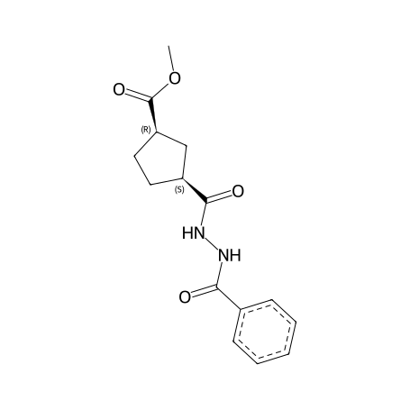 COC(=O)[C@@H]1CC[C@H](C(=O)NNC(=O)c2ccccc2)C1